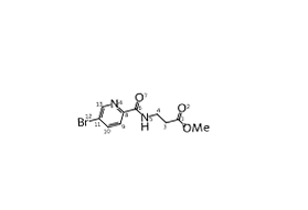 COC(=O)CCNC(=O)c1ccc(Br)cn1